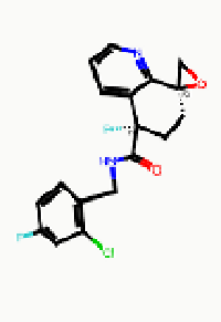 O=C(NCc1ccc(F)cc1Cl)[C@]1(F)CC[C@@]2(CO2)c2ncccc21